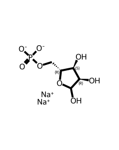 O=P([O-])([O-])OC[C@H]1OC(O)[C@H](O)[C@@H]1O.[Na+].[Na+]